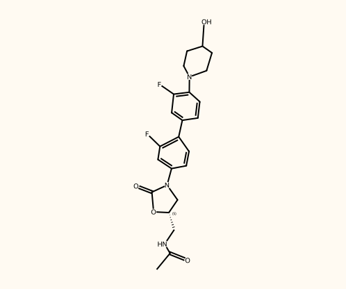 CC(=O)NC[C@H]1CN(c2ccc(-c3ccc(N4CCC(O)CC4)c(F)c3)c(F)c2)C(=O)O1